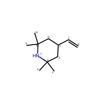 C=CC1CC(C)(C)NC(C)(C)C1